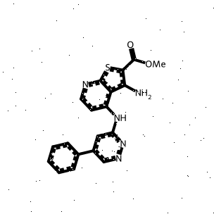 COC(=O)c1sc2nccc(Nc3cc(-c4ccccc4)cnn3)c2c1N